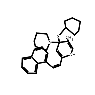 CC1=CNC(/C=C\c2cccc3ccccc23)=CC1(SC1CCCCC1)N1CCCCC1